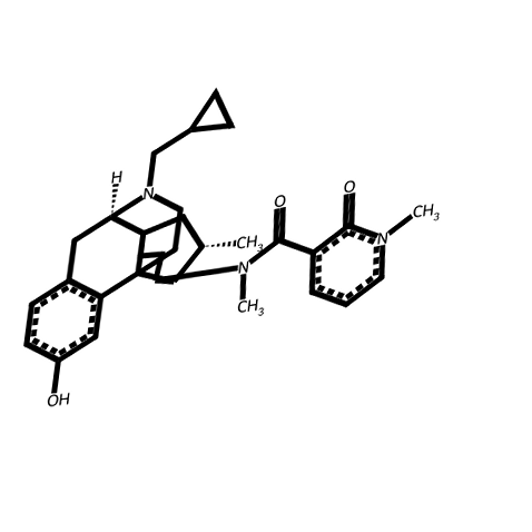 C[C@H]1CC23CCC(N(C)C(=O)c4cccn(C)c4=O)C1C21CCN(CC2CC2)[C@@H]3Cc2ccc(O)cc21